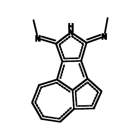 C/N=c1\[nH]/c(=N\C)c2c3ccc4ccccc(c12)c43